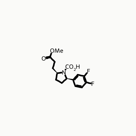 COC(=O)CC[C@@H]1CC[C@H](c2ccc(F)c(F)c2)N1C(=O)O